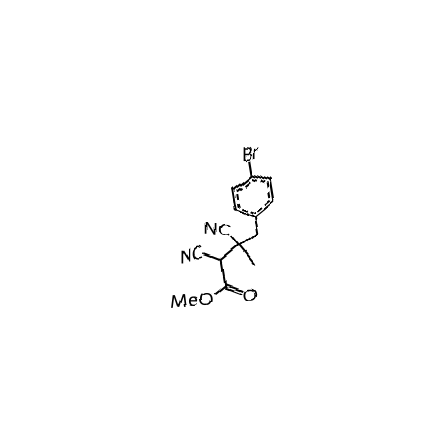 COC(=O)C(C#N)C(C)(C#N)Cc1ccc(Br)cc1